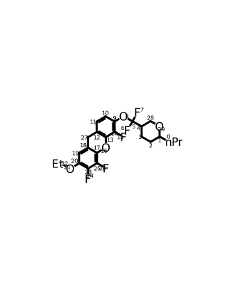 CCCC1CCC(C(F)(F)Oc2ccc3c(c2F)Oc2c(cc(OCC)c(F)c2F)C3)CO1